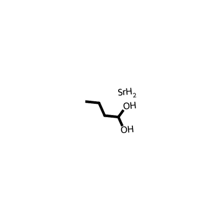 CCCC(O)O.[SrH2]